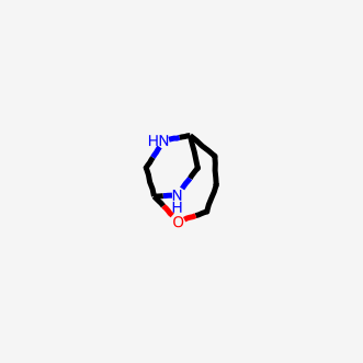 C1COC2CNC(C1)CN2